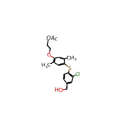 CC(=O)OCCOc1cc(C)c(Sc2ccc(CO)cc2Cl)cc1C